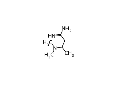 CC(CC(=N)N)N(C)C